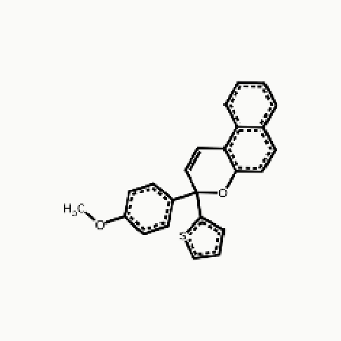 COc1ccc(C2(c3cccs3)C=Cc3c(ccc4ccccc34)O2)cc1